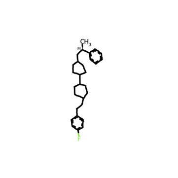 C[C@H](CC1CCC(C2CCC(CCc3ccc(F)cc3)CC2)CC1)c1ccccc1